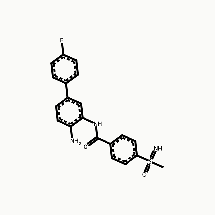 CS(=N)(=O)c1ccc(C(=O)Nc2cc(-c3ccc(F)cc3)ccc2N)cc1